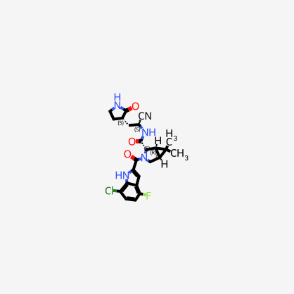 CC1(C)[C@@H]2[C@@H](C(=O)N[C@H](C#N)C[C@@H]3CCNC3=O)N(C(=O)c3cc4c(F)ccc(Cl)c4[nH]3)C[C@@H]21